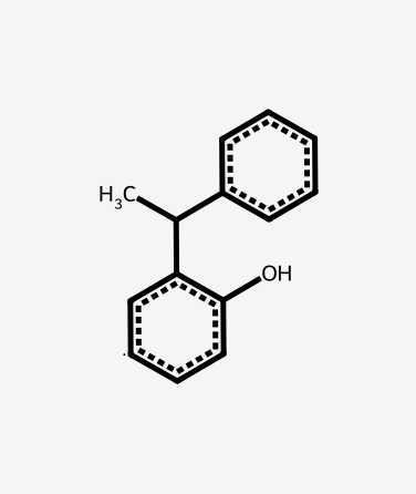 CC(c1ccccc1)c1c[c]ccc1O